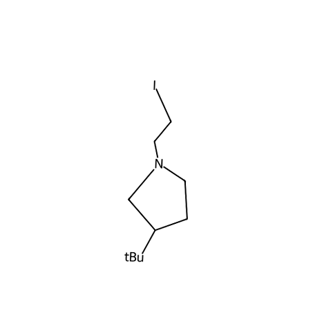 CC(C)(C)C1CCN(CCI)C1